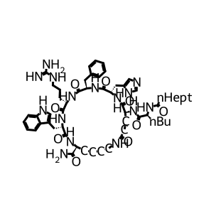 CCCCCCCC(=O)N[C@@H](CCCC)C(=O)N[C@H]1CCC(=O)NCCCC[C@@H](C(N)=O)NC(=O)[C@H](Cc2c[nH]c3ccccc23)NC(=O)[C@H](CCCNC(=N)N)NC(=O)[C@@H](Cc2ccccc2)NC(=O)[C@H](Cc2cnc[nH]2)NC1=O